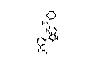 Cc1cccc(-c2cnc3ccc(NC4CCCCC4)nn23)c1